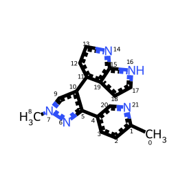 Cc1ccc(-c2nn(C)cc2-c2ccnc3[nH]ccc23)cn1